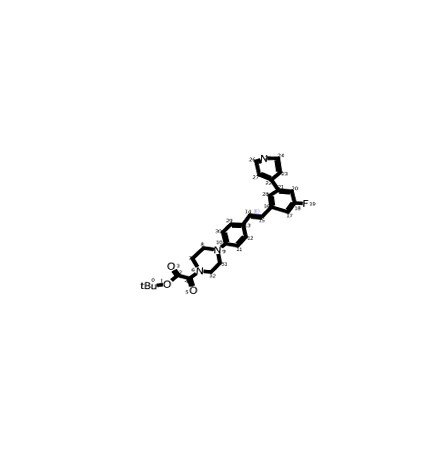 CC(C)(C)OC(=O)C(=O)N1CCN(c2ccc(/C=C/c3cc(F)cc(-c4ccncc4)c3)cc2)CC1